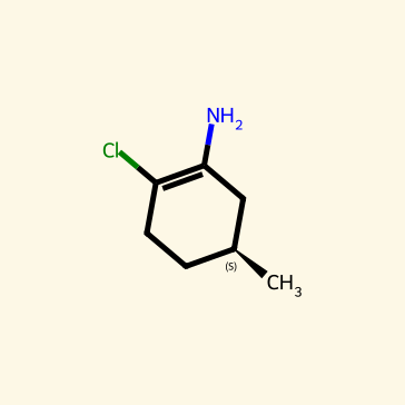 C[C@H]1CCC(Cl)=C(N)C1